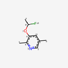 Cc1cnc(C)c(OC(C)F)c1